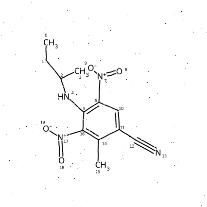 CCC(C)Nc1c([N+](=O)[O-])cc(C#N)c(C)c1[N+](=O)[O-]